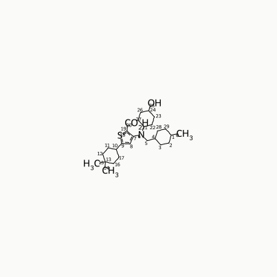 CC1CCC(CN(c2cc(C3CCC(C)(C)CC3)sc2C(=O)O)C2CCC(O)CC2)CC1